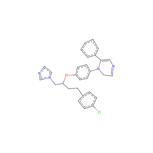 Clc1ccc(CCC(Cn2ccnc2)Oc2ccc(N3CC=NC=C3c3ccccc3)cc2)cc1